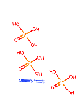 O=P(O)(O)O.O=P(O)(O)O.O=P(O)(O)O.[N-]=[N+]=[N-]